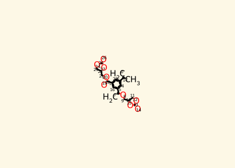 C=C(C)c1cc(C(=C)OCC2COC(=O)O2)cc(C(=O)OCC2COC(=O)O2)c1